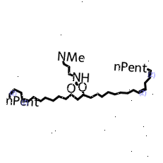 CCCCC/C=C\C/C=C\CCCCCCCCC(CCCCCCCC/C=C\C/C=C\CCCCC)OC(=O)NCCCNC